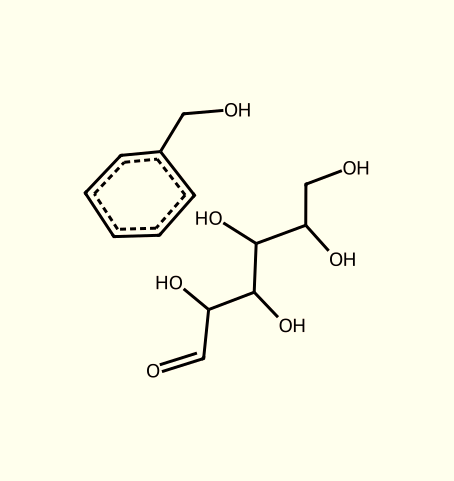 O=CC(O)C(O)C(O)C(O)CO.OCc1ccccc1